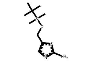 CC(C)(C)[Si](C)(C)OCc1cnc(N)s1